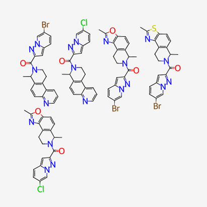 CC1c2ccc3ncccc3c2CCN1C(=O)c1cc2ccc(Br)cn2n1.CC1c2ccc3ncccc3c2CCN1C(=O)c1cc2ccc(Cl)cn2n1.Cc1nc2c3c(ccc2o1)C(C)N(C(=O)c1cc2ccc(Br)cn2n1)CC3.Cc1nc2c3c(ccc2o1)C(C)N(C(=O)c1cc2ccc(Cl)cn2n1)CC3.Cc1nc2c3c(ccc2s1)C(C)N(C(=O)c1cc2ccc(Br)cn2n1)CC3